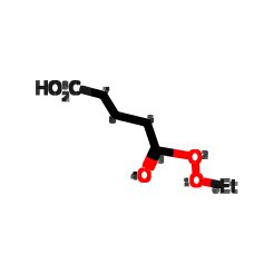 CCOOC(=O)CCCC(=O)O